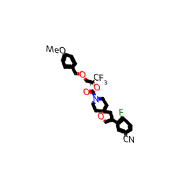 COc1ccc(COC[C@@H](OC(=O)N2CCC3(CC2)CC(c2cc(C#N)ccc2F)CO3)C(F)(F)F)cc1